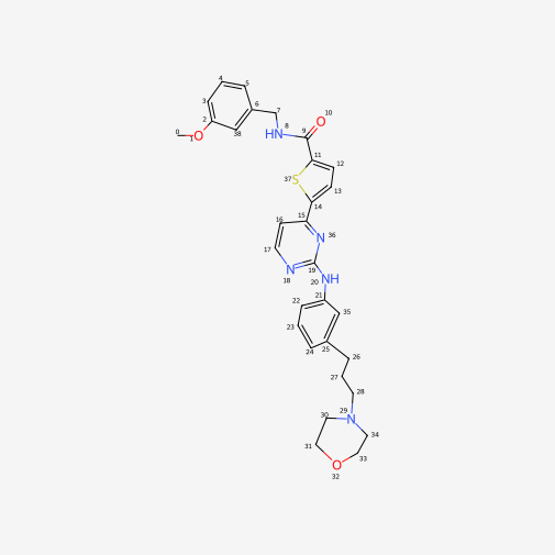 COc1cccc(CNC(=O)c2ccc(-c3ccnc(Nc4cccc(CCCN5CCOCC5)c4)n3)s2)c1